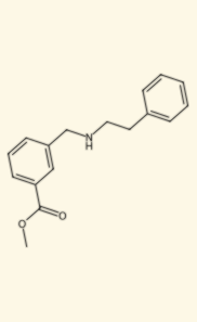 COC(=O)c1cccc(CNCCc2ccccc2)c1